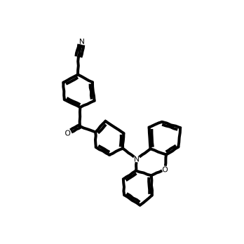 N#Cc1ccc(C(=O)c2ccc(N3c4ccccc4Oc4ccccc43)cc2)cc1